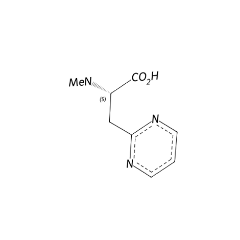 CN[C@@H](Cc1ncccn1)C(=O)O